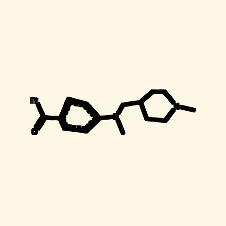 CCC(=O)c1ccc(N(C)CC2CCN(C)CC2)cc1